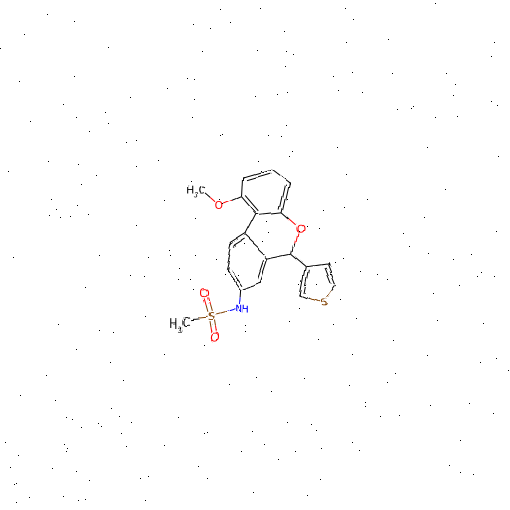 COc1cccc2c1-c1ccc(NS(C)(=O)=O)cc1C(c1ccsc1)O2